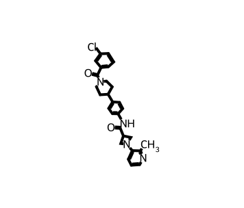 Cc1ncccc1N1CC(C(=O)Nc2ccc(C3CCN(C(=O)c4cccc(Cl)c4)CC3)cc2)C1